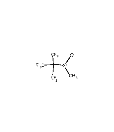 C[S+]([O-])C(C(F)(F)F)(C(F)(F)F)C(F)(F)F